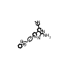 Cn1cc(-c2cc(-c3ccc(N4CCN(CCS(=O)(=O)c5ccccc5)CC4)nc3)c3c(C#N)c(N)nn3c2)cn1